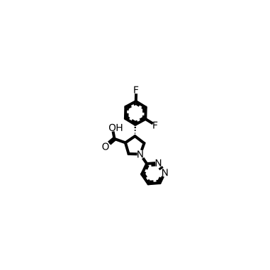 O=C(O)C1CN(c2cccnn2)C[C@H]1c1ccc(F)cc1F